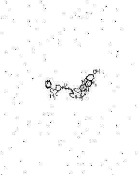 CC(CCC(=O)N1CC[C@H](Oc2ccncc2)[C@@H](C)C1)[C@H]1CC[C@H]2[C@@H]3CC=C4C[C@@H](O)CC[C@]4(C)[C@H]3CC[C@]12C